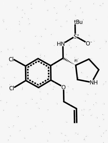 C=CCOc1cc(Cl)c(Cl)cc1C(N[S+]([O-])C(C)(C)C)[C@@H]1CCNC1